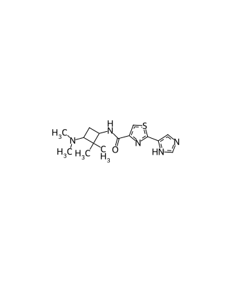 CN(C)C1CC(NC(=O)c2csc(-c3cnc[nH]3)n2)C1(C)C